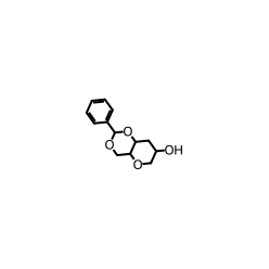 OC1COC2COC(c3ccccc3)OC2C1